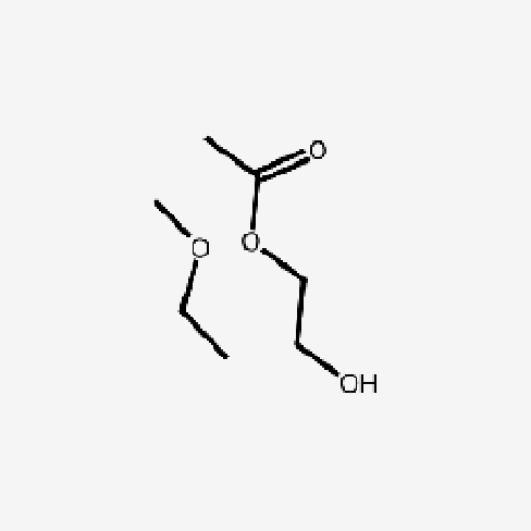 CC(=O)OCCO.CCOC